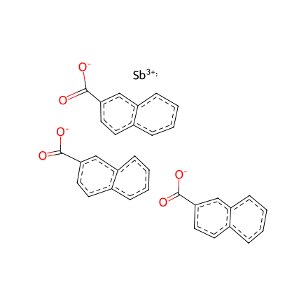 O=C([O-])c1ccc2ccccc2c1.O=C([O-])c1ccc2ccccc2c1.O=C([O-])c1ccc2ccccc2c1.[Sb+3]